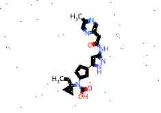 CCC1(N(C(=O)O)[C@@H]2CC[C@H](c3cc(NC(=O)Cc4cnc(C)cn4)n[nH]3)C2)CC1